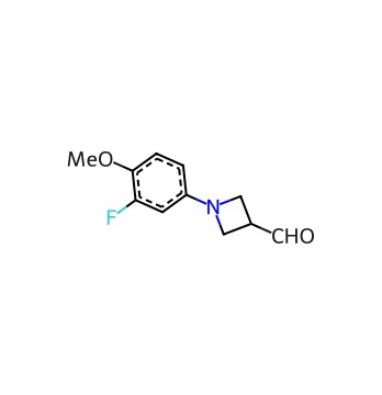 COc1ccc(N2CC(C=O)C2)cc1F